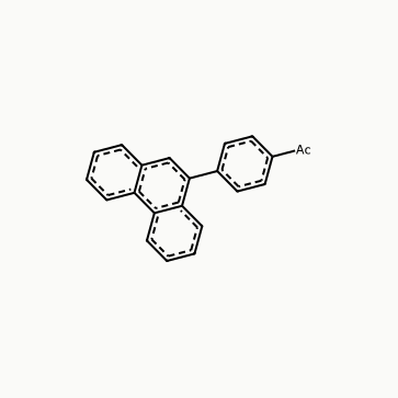 CC(=O)c1ccc(-c2cc3ccccc3c3ccccc23)cc1